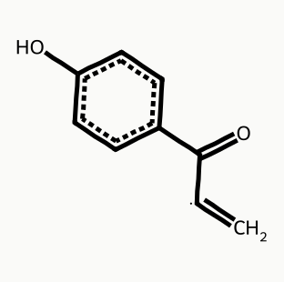 C=[C]C(=O)c1ccc(O)cc1